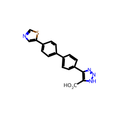 O=C(O)c1[nH]nnc1-c1ccc(-c2ccc(-c3cncs3)cc2)cc1